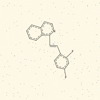 Fc1ccc(/C=C/c2nccc3ccccc23)c(F)c1